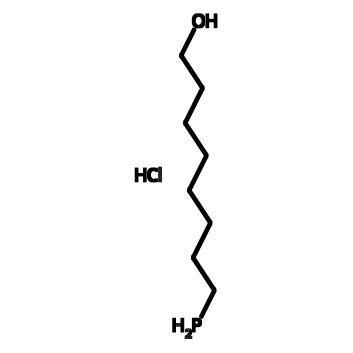 Cl.OCCCCCCCCP